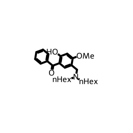 CCCCCCN(CCCCCC)Cc1cc(C(=O)c2ccccc2)c(O)cc1OC